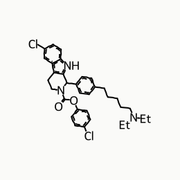 CCN(CC)CCCCCc1ccc(C2c3[nH]c4ccc(Cl)cc4c3CCN2C(=O)Oc2ccc(Cl)cc2)cc1